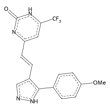 COc1ccc(-c2[nH]ncc2C=Cc2cc(C(F)(F)F)[nH]c(=O)n2)cc1